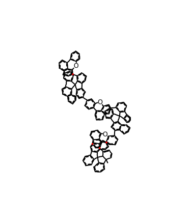 CC12C=CC=C(c3ccc4cccc5c4c3-c3cccc(-c4cc6c(c7ccccc47)C4(c7ccccc7-c7cccc(-c8cc9c%10c(cccc%10c8)-c8ccc(-c%10ccc%11c(c%10)-c%10cccc(-c%12ccc%13cccc%14c%13c%12Oc%12ccccc%12-%14)c%10C%11%10c%11ccccc%11-c%11ccc%12ccccc%12c%11%10)cc8O9)c74)c4ccccc4-6)c3O5)C1C1(c3ccccc3-c3ccc4ccccc4c31)c1ccccc12